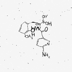 Cc1cccc(C[C@H](NC(=O)c2ccc(N)nc2)B(O)O)c1O